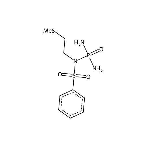 CSCCN(P(N)(N)=O)S(=O)(=O)c1ccccc1